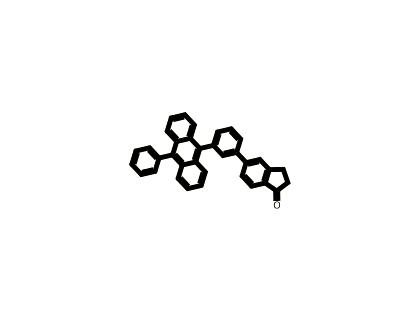 O=C1CCc2cc(-c3cccc(-c4c5ccccc5c(-c5ccccc5)c5ccccc45)c3)ccc21